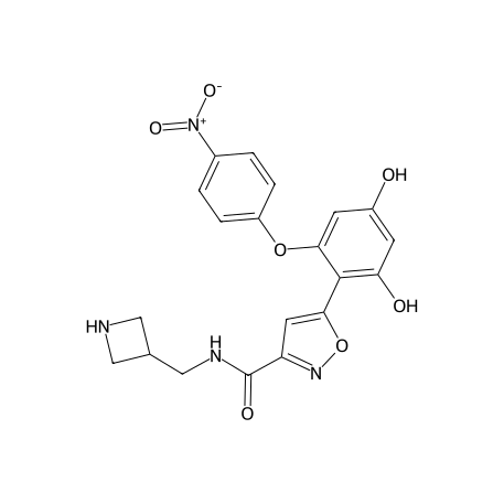 O=C(NCC1CNC1)c1cc(-c2c(O)cc(O)cc2Oc2ccc([N+](=O)[O-])cc2)on1